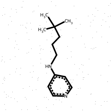 CC(C)(C)CCCNc1ccncc1